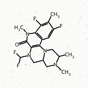 Cc1c(F)cc2c3c(c(=O)n(C)c2c1F)N(C(F)F)CC1CN(C)C(C)CN31